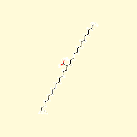 CCCCCCCCCCCCCCCC(CCCCCCCCCCCCCC)C(=O)O